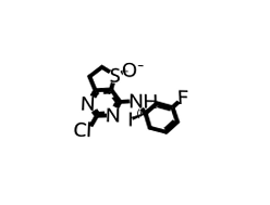 [O-][S+]1CCc2nc(Cl)nc(N[C@]3(I)C=C(F)C=CC3)c21